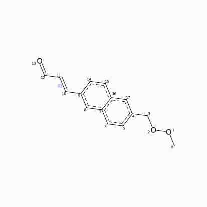 COOCc1ccc2cc(/C=C/C=O)ccc2c1